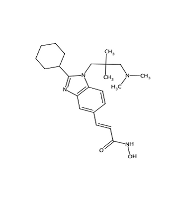 CN(C)CC(C)(C)Cn1c(C2CCCCC2)nc2cc(/C=C/C(=O)NO)ccc21